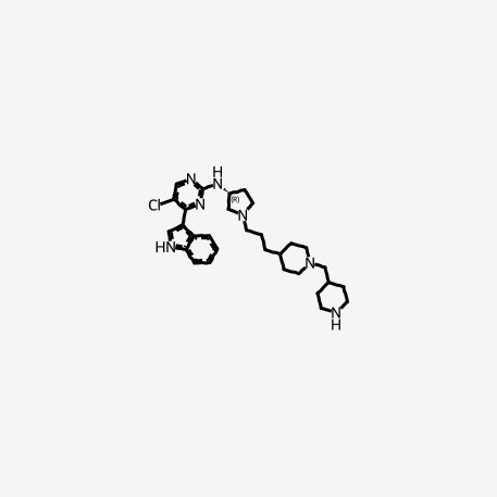 Clc1cnc(N[C@@H]2CCN(CCCC3CCN(CC4CCNCC4)CC3)C2)nc1-c1c[nH]c2ccccc12